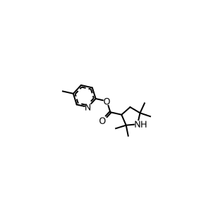 Cc1ccc(OC(=O)C2CC(C)(C)NC2(C)C)nc1